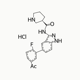 CC(=O)c1ccc(F)c(-c2ccc3[nH]nc(NC(=O)[C@@H]4CCCNC4)c3c2)c1.Cl